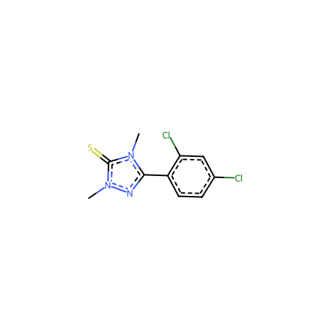 Cn1nc(-c2ccc(Cl)cc2Cl)n(C)c1=S